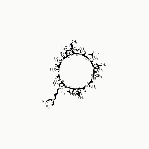 C/C=C/C[C@@H](C)[C@@H](O)[C@@H]1C(=O)N[C@@H](CC)C(=O)N(C)CC(=O)N(C)[C@@H]([C@@H](C)OC/C=C/CN(CC)CC)C(=O)N[C@@H](C(C)C)C(=O)N(C)[C@@H](CC(C)C)C(=O)N[C@@H](C)C(=O)N[C@H](C)C(=O)N(C)[C@@H](CC(C)C)C(=O)N(C)[C@@H](CC(C)C)C(=O)N(C)[C@@H](C(C)C)C(=O)N1C